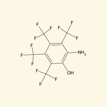 Nc1c(O)c(C(F)(F)F)c(C(F)(F)F)c(C(F)(F)F)c1C(F)(F)F